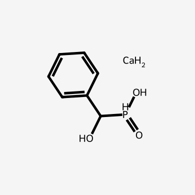 O=[PH](O)C(O)c1ccccc1.[CaH2]